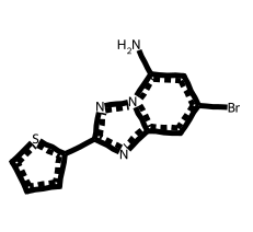 Nc1cc(Br)cc2nc(-c3cccs3)nn12